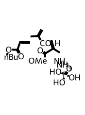 C=C(C)C(=O)O.C=C(C)C(=O)OC.C=CC(=O)OCCCC.N.N.O=P(O)(O)O